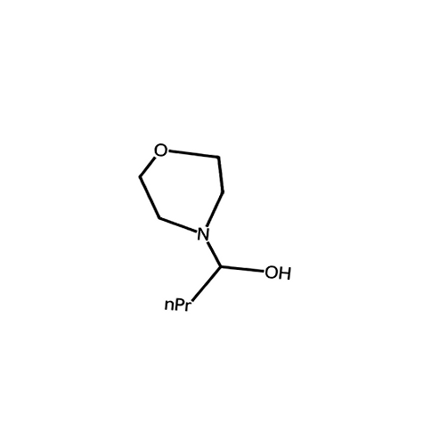 CCCC(O)N1CCOCC1